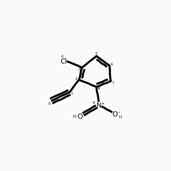 C#Cc1c(Cl)cccc1[N+](=O)[O-]